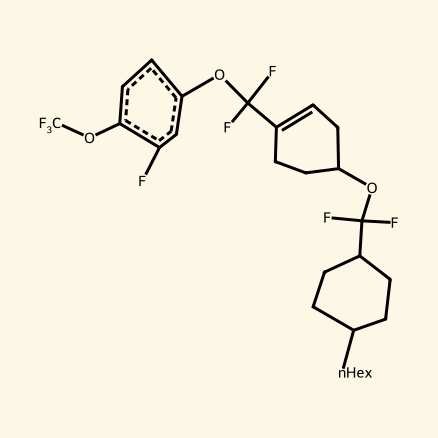 CCCCCCC1CCC(C(F)(F)OC2CC=C(C(F)(F)Oc3ccc(OC(F)(F)F)c(F)c3)CC2)CC1